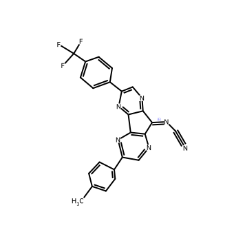 Cc1ccc(-c2cnc3c(n2)-c2nc(-c4ccc(C(F)(F)F)cc4)cnc2/C3=N/C#N)cc1